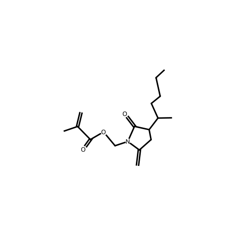 C=C(C)C(=O)OCN1C(=C)CC(C(C)CCCC)C1=O